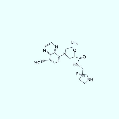 C#Cc1ccc(N2CC(C(=O)NC[C@@]3(F)CCNC3)OC(C(F)(F)F)C2)c2nccnc12